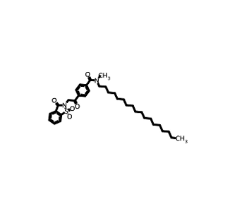 CCCCCCCCCCCCCCCCCCN(C)C(=O)c1ccc(C(=O)CN2C(=O)c3ccccc3S2(=O)=O)cc1